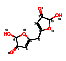 O=C1C=C([CH]C2=CC(=O)C(O)O2)OC1O